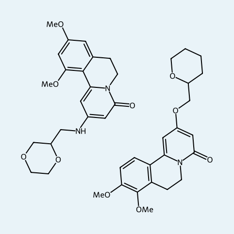 COc1cc2c(c(OC)c1)-c1cc(NCC3COCCO3)cc(=O)n1CC2.COc1ccc2c(c1OC)CCn1c-2cc(OCC2CCCCO2)cc1=O